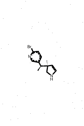 C[C@@H](c1ccc(Br)nc1)[C@@]1(C)C=CNC1